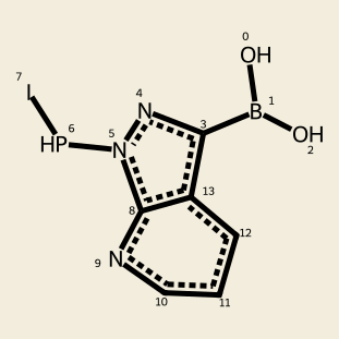 OB(O)c1nn(PI)c2ncccc12